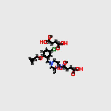 C[C@H]1CN(Cc2cc(Cl)ccc2OCC2CC2)CCN1.O=C(O)CCC(=O)O.O=C(O)CCC(=O)O